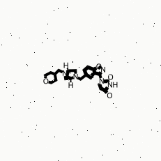 O=c1ccn(-c2noc3ccc(CN4C[C@@H]5C[C@H]4CN5CC4CCOCC4)cc23)c(=O)[nH]1